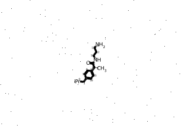 CC(C)Cc1ccc([C@@H](C)C(=O)NCCCN)cc1